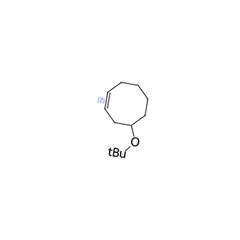 CC(C)(C)OC1C/C=C\CCCC1